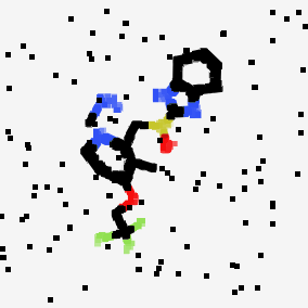 CN.Cc1c(OCC(F)(F)F)ccnc1C[S+]([O-])c1nc2ccccc2[nH]1